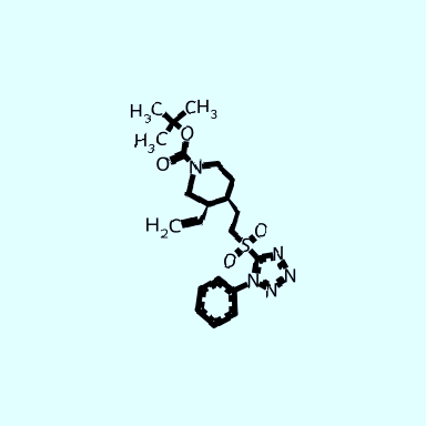 C=C[C@H]1CN(C(=O)OC(C)(C)C)CC[C@H]1CCS(=O)(=O)c1nnnn1-c1ccccc1